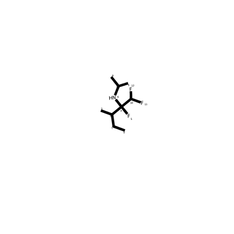 CCC(C)C(F)(NC(C)C)C(F)F